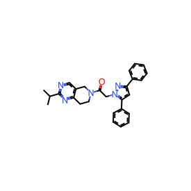 CC(C)c1ncc2c(n1)CCN(C(=O)Cn1nc(-c3ccccc3)cc1-c1ccccc1)C2